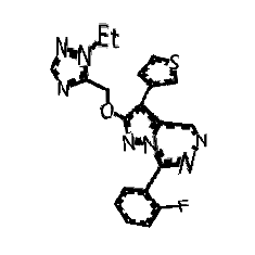 CCn1ncnc1COc1nn2c(-c3ccccc3F)nncc2c1-c1ccsc1